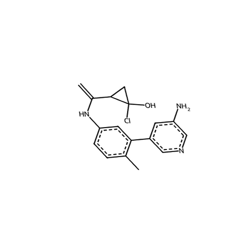 C=C(Nc1ccc(C)c(-c2cncc(N)c2)c1)C1CC1(O)Cl